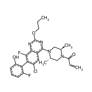 C=CC(=O)N1C[C@H](C)N(c2nc(OCCC)nc3c(F)c(-c4c(O)cccc4F)c(Cl)cc23)C[C@H]1C